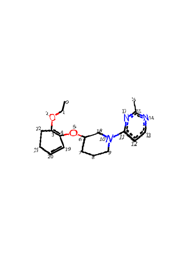 CCOC1=C(OC2CCCN(c3ccnc(C)n3)C2)C=CCC1